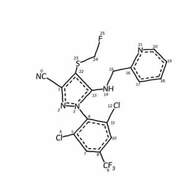 N#Cc1nn(-c2c(Cl)cc(C(F)(F)F)cc2Cl)c(NCc2ccccn2)c1SCF